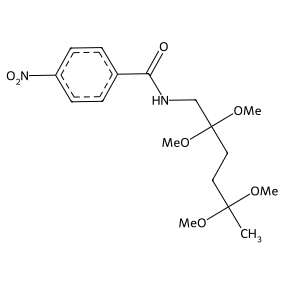 COC(C)(CCC(CNC(=O)c1ccc([N+](=O)[O-])cc1)(OC)OC)OC